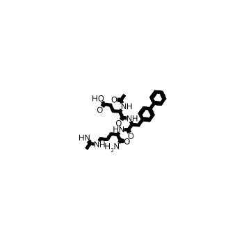 CC(=N)NCCCC(NC(=O)C(Cc1ccc(-c2ccccc2)cc1)NC(=O)C(CCC(=O)O)NC(C)=O)C(N)=O